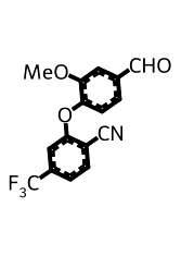 COc1cc(C=O)ccc1Oc1cc(C(F)(F)F)ccc1C#N